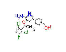 CC(Oc1cc(-c2ccc(CO)cc2)cnc1N)c1c(Cl)ccc(F)c1Cl